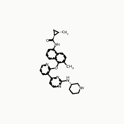 Cc1ccc2c(NC(=O)[C@H]3C[C@@H]3C)cccc2c1Oc1ncccc1-c1ccnc(N[C@H]2CCCNC2)n1